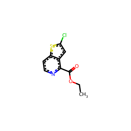 CCOC(=O)c1nccc2sc(Cl)cc12